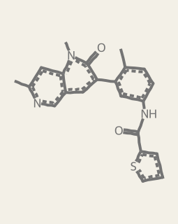 Cc1cc2c(cn1)cc(-c1cc(NC(=O)c3cccs3)ccc1C)c(=O)n2C